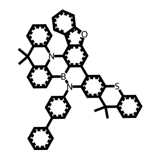 CC1(C)c2ccccc2Sc2cc3c(cc21)N(c1ccc(-c2ccccc2)cc1)B1c2cccc4c2N(c2ccccc2C4(C)C)c2c1c-3cc1oc3ccccc3c21